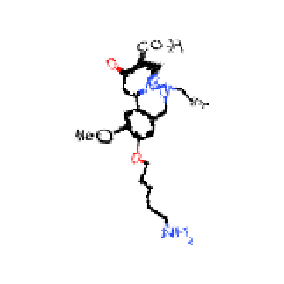 COc1cc2c(cc1OCCCCCN)CN(CC(C)C)n1cc(C(=O)O)c(=O)cc1-2